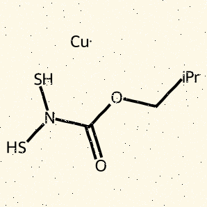 CC(C)COC(=O)N(S)S.[Cu]